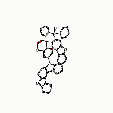 O=P1(c2ccccc2)c2ccccc2C2(c3ccccc3Oc3cc(-n4c5ccccc5c5c6c(ccc54)oc4ccccc46)ccc32)c2cc3c(cc21)oc1ccccc13